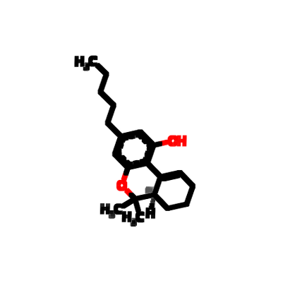 CCCCCc1cc(O)c2c(c1)OC(C)(C)[C@@H]1CCCC=C21